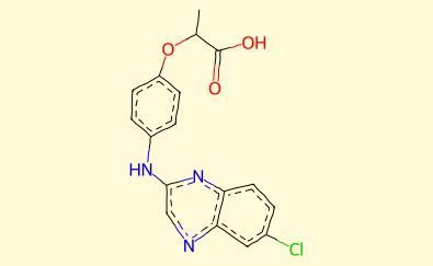 CC(Oc1ccc(Nc2cnc3cc(Cl)ccc3n2)cc1)C(=O)O